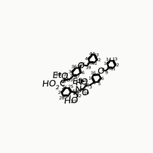 CCO[C@@H](Cc1ccc(OCc2ccccc2)cc1)C(=O)N[C@@H](CO)c1ccccc1.CCO[C@@H](Cc1ccc(OCc2ccccc2)cc1)C(=O)O